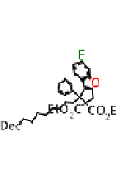 CCCCCCCCCCCCCCCCCCC1(c2ccccc2)c2c(oc3cc(F)ccc23)CC1(C(=O)OCC)C(=O)OCC